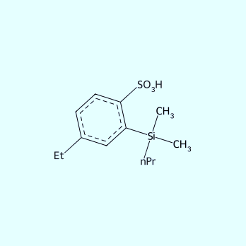 CCC[Si](C)(C)c1cc(CC)ccc1S(=O)(=O)O